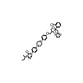 CCC(C)n1ncn(-c2ccc(N3CCN(c4ccc(OCC5COC(Cn6nccn6)(c6ccccc6Cl)O5)cc4)CC3)cc2)c1=O